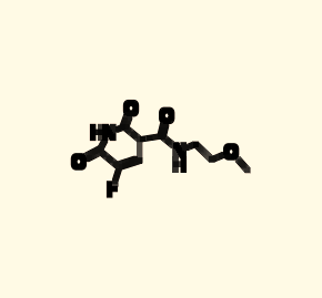 COCCNC(=O)C1C=C(F)C(=O)NC1=O